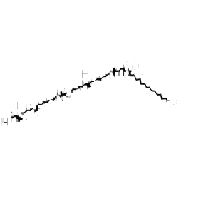 CCN[C@@H](CCCCNC(=O)COCCOCCNC(=O)COCCOCCNC(=O)COCCOCCNC(=O)CC[C@H](NC(=O)CCCCCCCCCCCCCCCS(=O)(=O)O)C(=O)O)C(=O)P